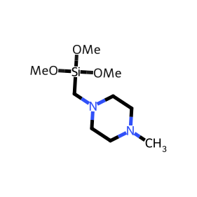 CO[Si](CN1CCN(C)CC1)(OC)OC